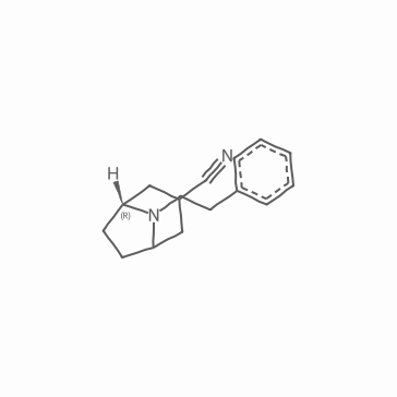 N#CC1CC2CC[C@H](C1)N2CCc1ccccc1